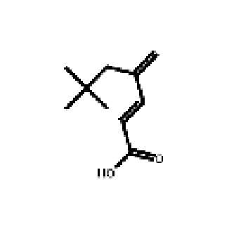 C=C(C=CC(=O)O)CC(C)(C)C